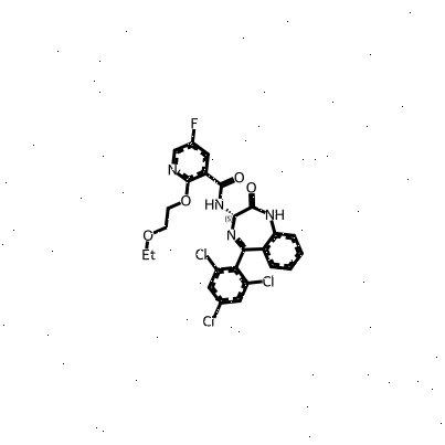 CCOCCOc1ncc(F)cc1C(=O)N[C@H]1N=C(c2c(Cl)cc(Cl)cc2Cl)c2ccccc2NC1=O